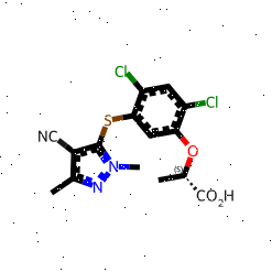 Cc1nn(C)c(Sc2cc(O[C@@H](C)C(=O)O)c(Cl)cc2Cl)c1C#N